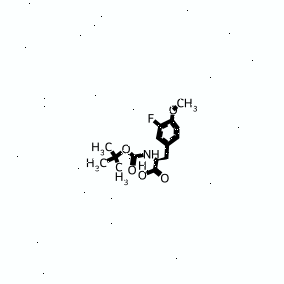 COc1ccc(C[C@H](NC(=O)OC(C)(C)C)C(=O)O)cc1F